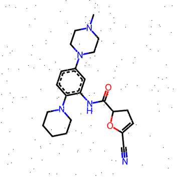 CN1CCN(c2ccc(N3CCCCC3)c(NC(=O)C3CC=C(C#N)O3)c2)CC1